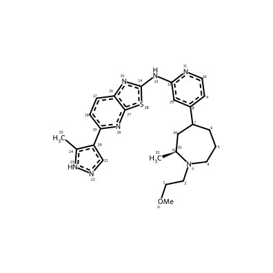 COCCN1CCCC(c2ccnc(Nc3nc4ccc(-c5cn[nH]c5C)nc4s3)c2)C[C@@H]1C